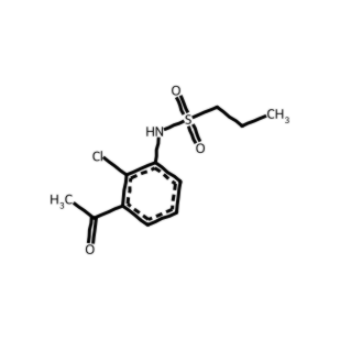 CCCS(=O)(=O)Nc1cccc(C(C)=O)c1Cl